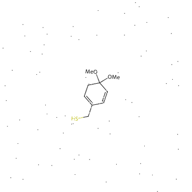 COC1(OC)C=CC(CS)=CC1